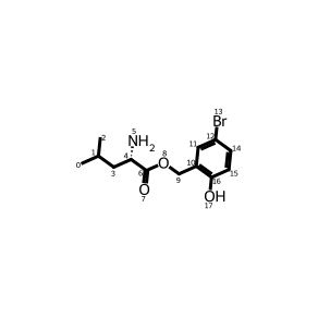 CC(C)C[C@H](N)C(=O)OCc1cc(Br)ccc1O